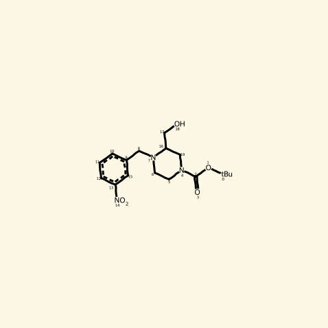 CC(C)(C)OC(=O)N1CCN(Cc2cccc([N+](=O)[O-])c2)C(CO)C1